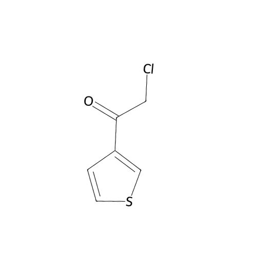 O=C(CCl)c1ccsc1